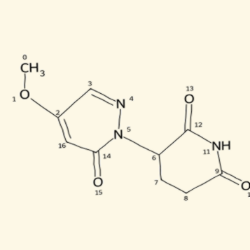 COc1cnn(C2CCC(=O)NC2=O)c(=O)c1